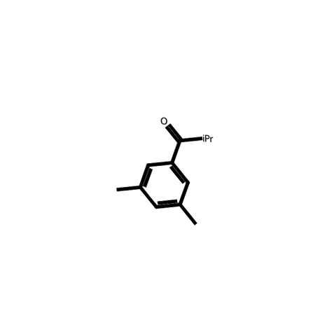 Cc1cc(C)cc(C(=O)C(C)C)c1